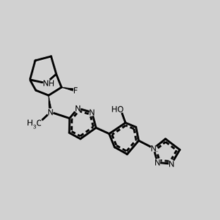 CN(c1ccc(-c2ccc(-n3ccnn3)cc2O)nn1)[C@H]1CC2CCC(N2)[C@H]1F